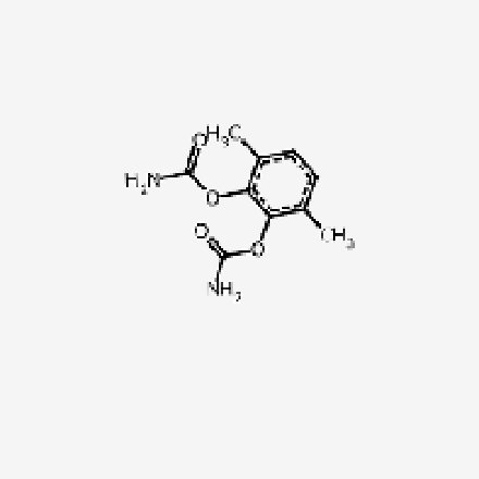 Cc1ccc(C)c(OC(N)=O)c1OC(N)=O